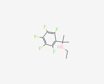 CCBC(C)(C)c1c(F)c(F)c(F)c(F)c1F